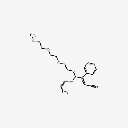 C/C=C\CC(OCCOCCOCCOC)/C(=C/C#N)c1ccccc1